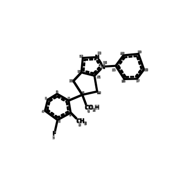 Cc1c(F)cccc1C1(C(=O)O)Cc2cnn(-c3ccccc3)c2C1